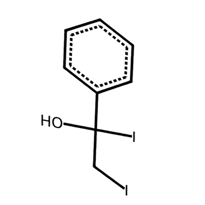 OC(I)(CI)c1ccccc1